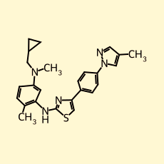 Cc1cnn(-c2ccc(-c3csc(Nc4cc(N(C)CC5CC5)ccc4C)n3)cc2)c1